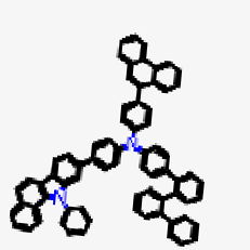 c1ccc(-c2ccccc2-c2ccccc2-c2ccc(N(c3ccc(-c4ccc5c6ccc7ccccc7c6n(-c6ccccc6)c5c4)cc3)c3ccc(-c4cc5ccccc5c5ccccc45)cc3)cc2)cc1